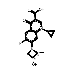 C[C@H]1[C@H](O)CN1c1cc2c(cc1F)c(=O)c(C(=O)O)cn2C1CC1